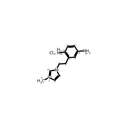 C[n+]1ccn(CCc2cc(N)ccc2N)c1.[Cl-]